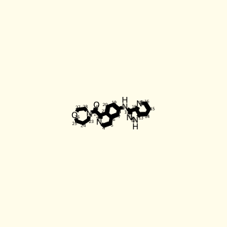 O=C(c1nccc2cc(Nc3n[nH]c4cccnc34)ccc12)N1CCCOCC1